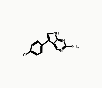 Nc1ncc2c(-c3ccc(Cl)cc3)c[nH]c2n1